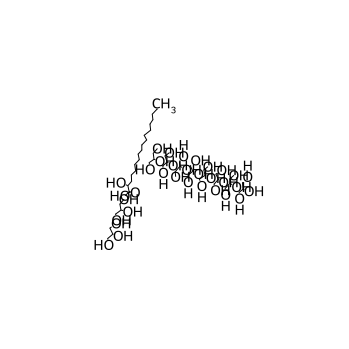 CCCCCCCCCCCCCCCCC(O)C(=O)O.OCC(O)CO.OCC(O)CO.OCC(O)CO.OCC(O)CO.OCC(O)CO.OCC(O)CO.OCC(O)CO.OCC(O)CO.OCC(O)CO.OCC(O)CO